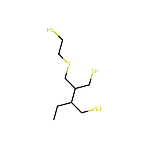 CCC(CS)C(CS)CSCCS